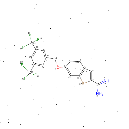 N=C(N)c1cc2ccc(OCc3cc(C(F)(F)F)cc(C(F)(F)F)c3)cc2s1